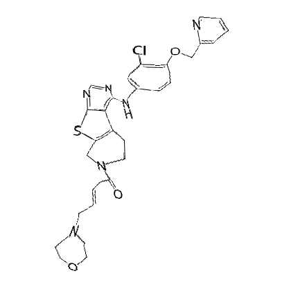 O=C(C=CCN1CCOCC1)N1CCc2c(sc3ncnc(Nc4ccc(OCc5ccccn5)c(Cl)c4)c23)C1